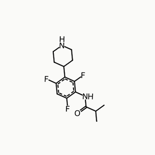 CC(C)C(=O)Nc1c(F)cc(F)c(C2CCNCC2)c1F